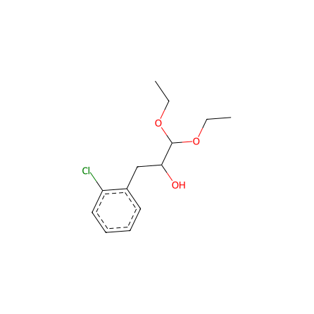 CCOC(OCC)C(O)Cc1ccccc1Cl